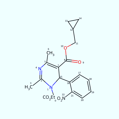 CCOC(=O)N1C(C)=NC(C)=C(C(=O)OCC2CC2)C1c1ccccc1[N+](=O)[O-]